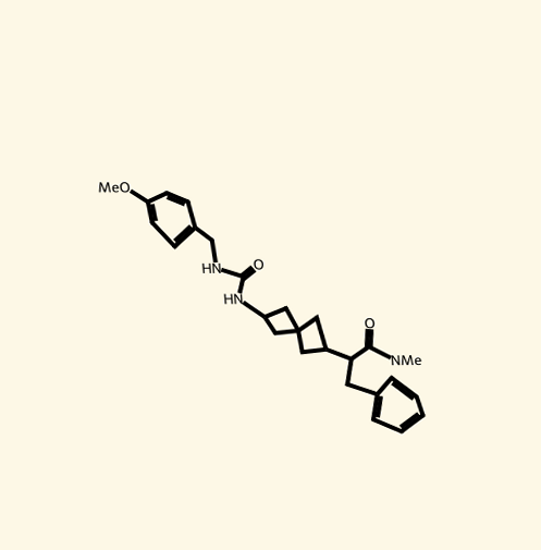 CNC(=O)C(Cc1ccccc1)C1CC2(CC(NC(=O)NCc3ccc(OC)cc3)C2)C1